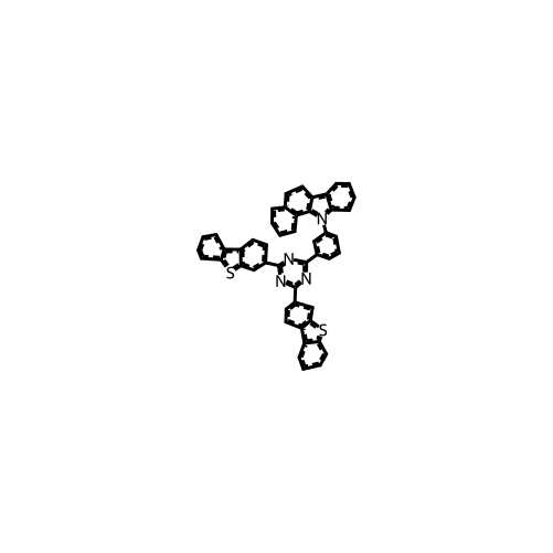 c1cc(-c2nc(-c3ccc4c(c3)sc3ccccc34)nc(-c3ccc4c(c3)sc3ccccc34)n2)cc(-n2c3ccccc3c3ccc4ccccc4c32)c1